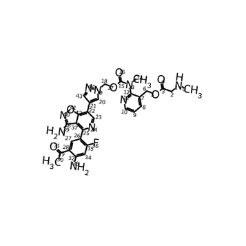 CNCC(=O)OCc1cccnc1N(C)C(=O)OCn1cc(-c2cnc(-c3cc(C(C)=O)c(N)cc3F)c3c(N)noc23)cn1